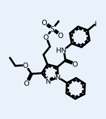 CCOC(=O)c1nn(-c2ccccc2)c(C(=O)Nc2ccc(I)cc2)c1CCOS(C)(=O)=O